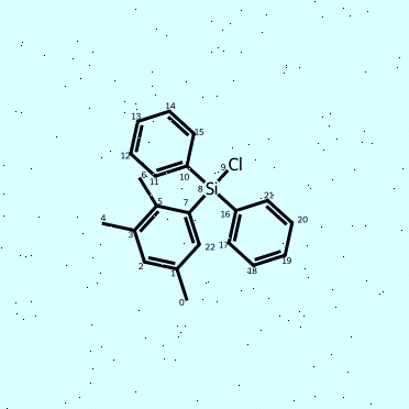 Cc1cc(C)c(C)c([Si](Cl)(c2ccccc2)c2ccccc2)c1